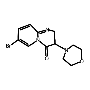 O=C1C(N2CCOCC2)CN=C2C=CC(Br)=CN12